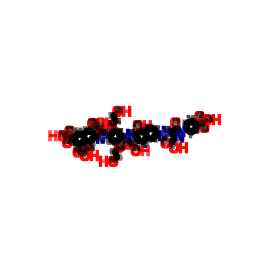 O=C(O)C1=NN(c2ccc(S(=O)(=O)O)cc2)C(=O)C1/N=N/c1ccc2c(O)c(/N=N/c3cc(OCCO)c(/N=N/c4cc5c(S(=O)(=O)O)cc(S(=O)(=O)O)cc5cc4S(=O)(=O)O)cc3OCCO)c(S(=O)O)cc2c1